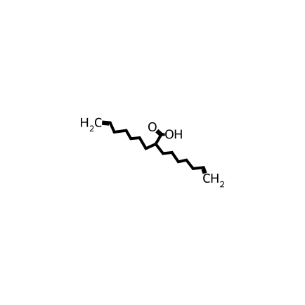 C=CCCCCCC(CCCCCC=C)C(=O)O